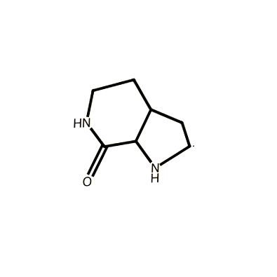 O=C1NCCC2C[CH]NC12